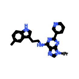 Cc1ccc2[nH]cc(CCNc3nc(-c4cccnc4)nc4c3ncn4C(C)C)c2c1